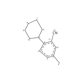 Cc1ccc(C2CCCCC2)c(C#N)c1